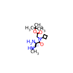 CN/C=C(\N)C(=O)N(CC(=O)OC(C)(C)C)C1CCC1